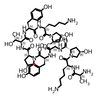 C[C@H](N)C(=O)N[C@@H](CCCCN)C(=O)N1C[C@H](O)C[C@H]1C(=O)N[C@@H](CO)C(=O)N[C@@H](Cc1ccc(O)cc1)C(=O)N1C[C@H](O)C[C@H]1C(=O)N[C@H](C(=O)N[C@@H](Cc1ccc(O)cc1)C(=O)N[C@@H](CCCCN)C(=O)N1C[C@H](O)C[C@H]1C(=O)O)[C@@H](C)O